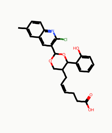 Cc1ccc2nc(Cl)c(C3OCC(C/C=C\CCC(=O)O)C(c4ccccc4O)O3)cc2c1